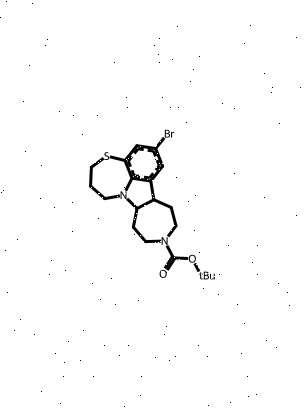 CC(C)(C)OC(=O)N1CCC2c3cc(Br)cc4c3N(CCCS4)C2CC1